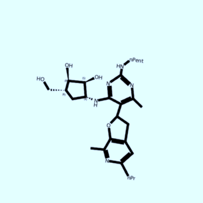 CCCCCNc1nc(C)c(C2Cc3cc(CCC)nc(C)c3O2)c(N[C@@H]2C[C@H](CO)[C@@H](O)[C@H]2O)n1